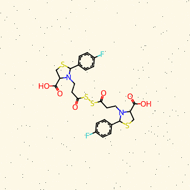 O=C(CCN1C(C(=O)O)CSC1c1ccc(F)cc1)SSC(=O)CCN1C(C(=O)O)CSC1c1ccc(F)cc1